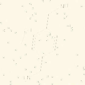 CO.NCc1ccc(CN)cc1